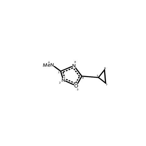 CNc1noc(C2CC2)n1